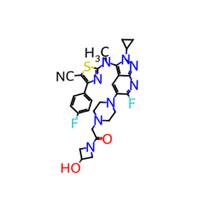 CN(c1nc(-c2ccc(F)cc2)c(C#N)s1)c1c2cc(N3CCN(CC(=O)N4CC(O)C4)CC3)c(F)nc2nn1C1CC1